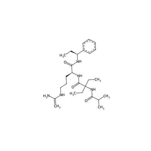 C=C(N)NCCC[C@H](NC(=O)C(CC)(CC)NC(=O)C(C)C)C(=O)N[C@@H](CC)c1ccccc1